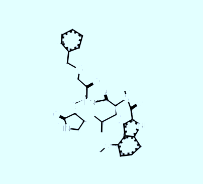 COc1cccc2[nH]c(C(=O)N(C)[C@@H](CC(C)C)C(=O)N[C@@H](C[C@@H]3CCNC3=O)C(=O)COCc3ccccc3)cc12